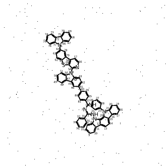 N=C(/N=C(\Nn1c2ccccc2c2ccc3c4ccccc4n(-c4ccccc4)c3c21)c1ccccc1)c1ccc(-c2ccc3c(c2)c2ccccc2n3-c2nccc3c2sc2ccc(-n4c5ccccc5c5ccccc54)cc23)cc1